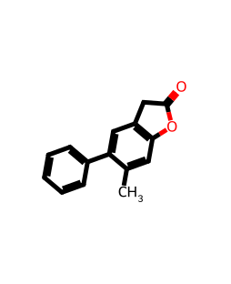 Cc1cc2c(cc1-c1ccccc1)CC(=O)O2